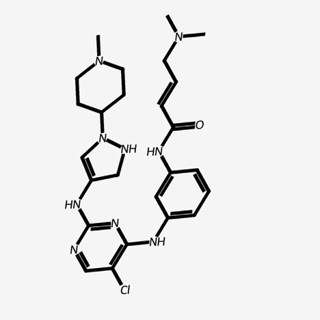 CN(C)C/C=C/C(=O)Nc1cccc(Nc2nc(NC3=CN(C4CCN(C)CC4)NC3)ncc2Cl)c1